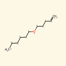 C=CCCCOCCCCCC